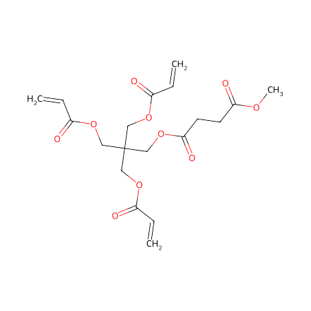 C=CC(=O)OCC(COC(=O)C=C)(COC(=O)C=C)COC(=O)CCC(=O)OC